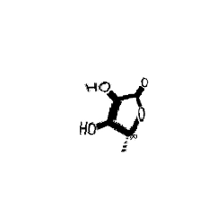 C[C@H]1OC(=O)C(O)=C1O